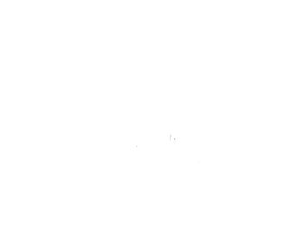 O=C(O)NC1(c2cc(Br)cc3c2COCC3)CC1